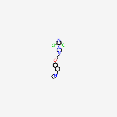 Clc1cncc(Cl)c1N1CCN(CCCOc2ccc3c(c2)CCC(CN2CCCC2)C3)CC1